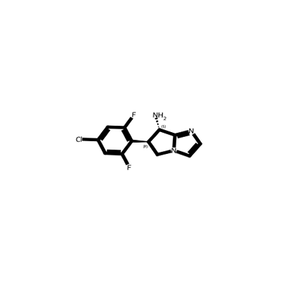 N[C@@H]1c2nccn2C[C@H]1c1c(F)cc(Cl)cc1F